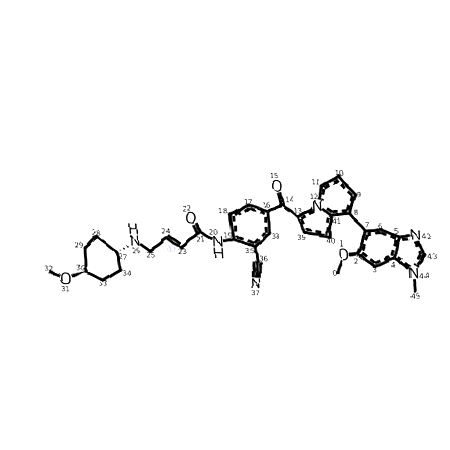 COc1cc2c(cc1-c1cccn3c(C(=O)c4ccc(NC(=O)/C=C/CN[C@H]5CC[C@H](OC)CC5)c(C#N)c4)ccc13)ncn2C